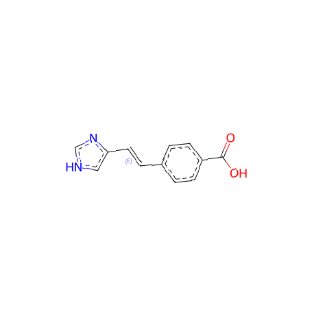 O=C(O)c1ccc(/C=C/c2c[nH]cn2)cc1